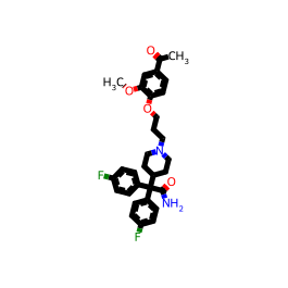 COc1cc(C(C)=O)ccc1OCCCN1CCC(C(C(N)=O)(c2ccc(F)cc2)c2ccc(F)cc2)CC1